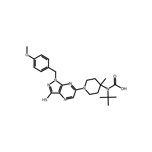 COc1ccc(Cn2nc(S)c3ncc(N4CCC(C)(N(C(=O)O)C(C)(C)C)CC4)nc32)cc1